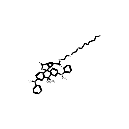 CN(c1ccccc1)c1ccc2c(c1)C(C)(C)c1cc(N(C)c3ccccc3)ccc1C21OC(=O)c2ccc(C(=O)NCCOCCOCCCCCCCl)cc21